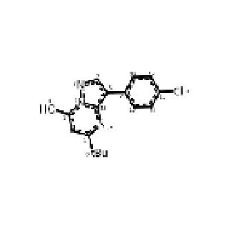 CC(C)(C)c1cc(O)n2ncc(-c3ccc(Cl)cc3)c2n1